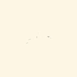 C[C@]12CC[C@H]3[C@@H](CCC4=C(Cl)C(=O)CC[C@@]43C)[C@@H]1CC[C@@H]2C#N